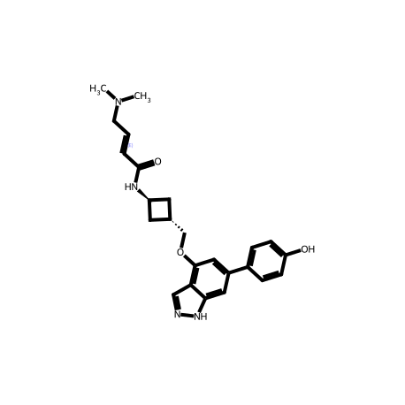 CN(C)C/C=C/C(=O)N[C@H]1C[C@H](COc2cc(-c3ccc(O)cc3)cc3[nH]ncc23)C1